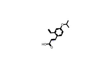 C=Cc1cc(OC(C)C)ccc1/C=C/C(=O)O